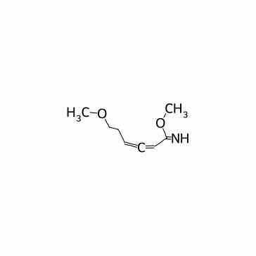 COCCC=C=CC(=N)OC